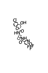 O=C(NC12CCC1C(NC(=O)[C@H]1C[C@@H](O)c3cc(Cl)ccc3O1)C2)c1ccc(OC(F)(F)F)nc1